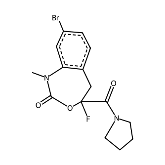 CN1C(=O)OC(F)(C(=O)N2CCCC2)Cc2ccc(Br)cc21